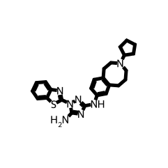 Nc1nc(Nc2ccc3c(c2)CCCN(C2CCCC2)CC3)nn1-c1nc2ccccc2s1